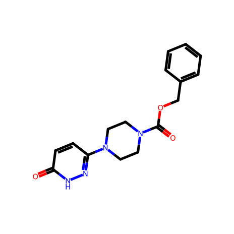 O=C(OCc1ccccc1)N1CCN(c2ccc(=O)[nH]n2)CC1